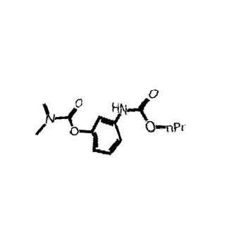 CCCOC(=O)Nc1cccc(OC(=O)N(C)C)c1